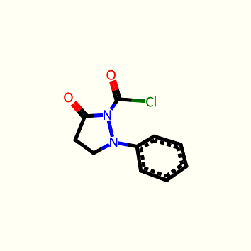 O=C(Cl)N1C(=O)CCN1c1ccccc1